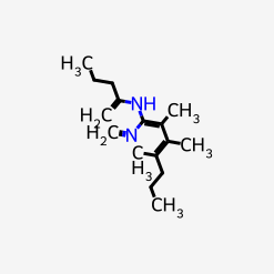 C=N/C(NC(=C)CCC)=C(C)\C(C)=C(/C)CCC